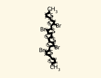 Cc1ccc(-c2cc(Br)c(-c3sc4c(sc5c6sc(-c7sc(-c8ccc(C)s8)cc7Br)c(Br)c6sc45)c3Br)s2)s1